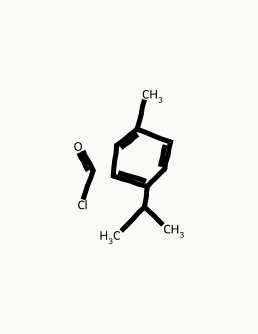 Cc1ccc(C(C)C)cc1.O=CCl